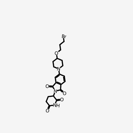 O=C1CCC(N2C(=O)c3ccc(N4CCC(OCCCBr)CC4)cc3C2=O)C(=O)N1